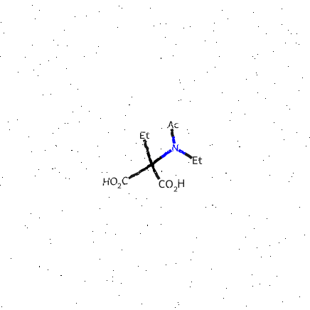 CCN(C(C)=O)C(CC)(C(=O)O)C(=O)O